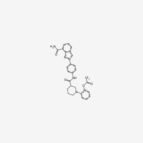 NC(=O)c1cccc2cn(-c3ccc(NC(=O)C4CCCN(c5cccc[n+]5OC(=O)C(F)(F)F)C4)cc3)nc12